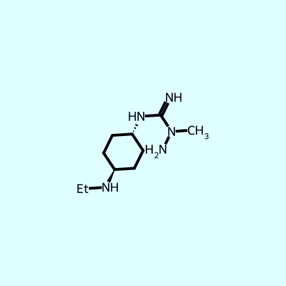 CCN[C@H]1CC[C@H](NC(=N)N(C)N)CC1